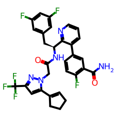 NC(=O)c1cc(-c2cccnc2[C@H](Cc2cc(F)cc(F)c2)NC(=O)Cn2nc(C(F)(F)F)cc2C2=CCCC2)ccc1F